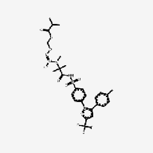 Cc1ccc(-c2cc(C(F)(F)F)nn2-c2ccc(S(=O)(=O)NC(=O)C(C)(C)N(C)/[N+]([O-])=N\OCOC(=O)C(C)C)cc2)cc1